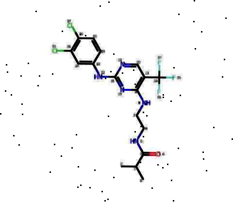 CC(C)C(=O)NCCNc1nc(Nc2ccc(Cl)c(Cl)c2)ncc1C(F)(F)F